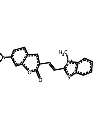 CCN(CC)c1ccc2cc(/C=C/c3sc4ccccc4[n+]3C)c(=O)oc2c1